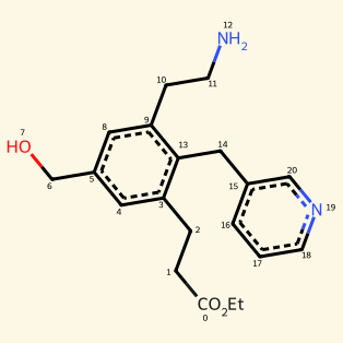 CCOC(=O)CCc1cc(CO)cc(CCN)c1Cc1cccnc1